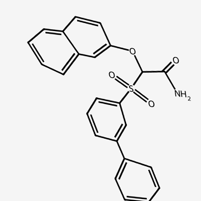 NC(=O)C(Oc1ccc2ccccc2c1)S(=O)(=O)c1cccc(-c2ccccc2)c1